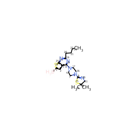 Bc1cc2c(N3CCN(C4=NCC(C)(C)S4)CC3)nc(CCCC)nc2s1